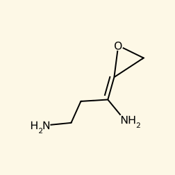 NCCC(N)=C1CO1